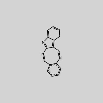 C1=CCC2=C3N=Nc4ccccc4N=NC3=NC2=C1